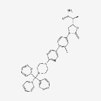 C[C@H](C(N)=O)C1CN(c2ccc(-c3cnc(N4CCN(C(c5ccccc5)(c5ccccc5)c5ccccc5)CC4)nc3)c(F)c2)C(=O)O1